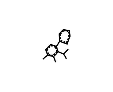 Cc1ccc(-c2ccccc2)c(C(C)C)c1C